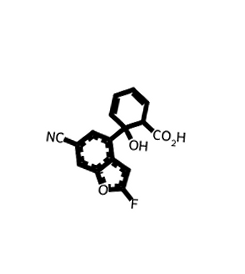 N#Cc1cc(C2(O)C=CC=CC2C(=O)O)c2cc(F)oc2c1